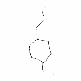 O=CNCC1CCC(C(=O)O)CC1